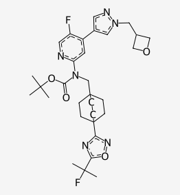 CC(C)(C)OC(=O)N(CC12CCC(c3noc(C(C)(C)F)n3)(CC1)CC2)c1cc(-c2cnn(CC3COC3)c2)c(F)cn1